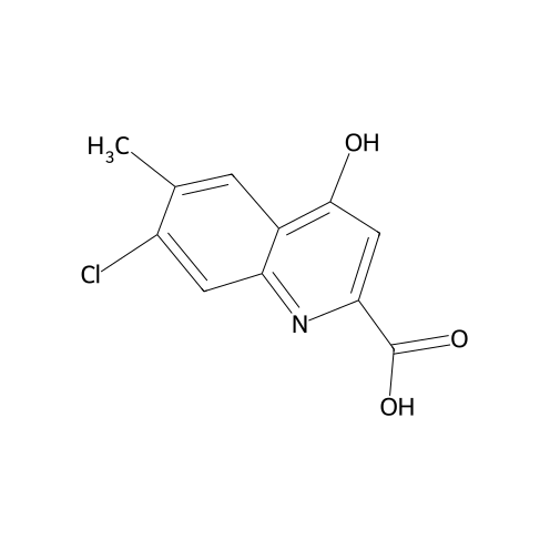 Cc1cc2c(O)cc(C(=O)O)nc2cc1Cl